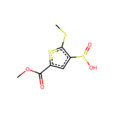 COC(=O)c1cc(S(=O)O)c(SC)s1